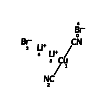 N#[C][Cu][C]#N.[Br-].[Br-].[Li+].[Li+]